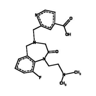 CN(C)CCN1C(=O)CN(Cc2cc(C(=O)O)ccn2)Cc2cccc(F)c21